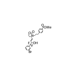 COC(=O)c1ccc(CCCN2C(=O)OCC[C@@H]2C=C[C@@H](O)C(F)(F)c2cccc(Br)c2)cc1